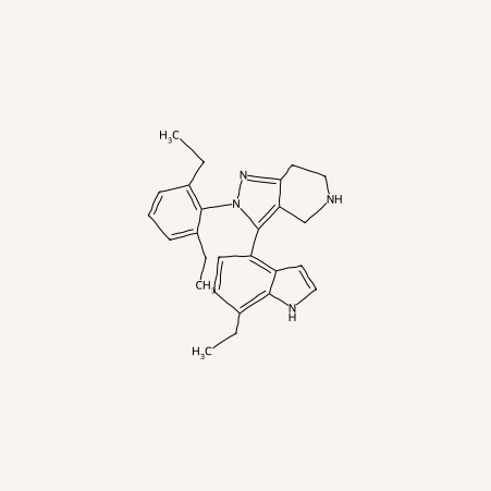 CCc1cccc(CC)c1-n1nc2c(c1-c1ccc(CC)c3[nH]ccc13)CNCC2